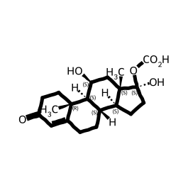 C[C@]12CCC(=O)C=C1CC[C@@H]1[C@@H]2[C@@H](O)C[C@@]2(C)[C@H]1CC[C@]2(O)OC(=O)O